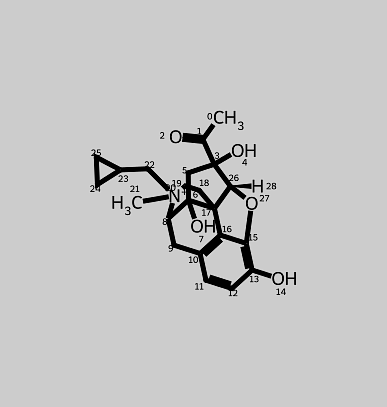 CC(=O)C1(O)CC2(O)C3Cc4ccc(O)c5c4C2(CC[N+]3(C)CC2CC2)[C@H]1O5